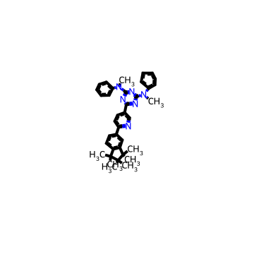 CN(c1ccccc1)c1nc(-c2ccc(-c3ccc4c(c3)C(C)(C)C(C)(C)C4(C)C)nc2)nc(N(C)c2ccccc2)n1